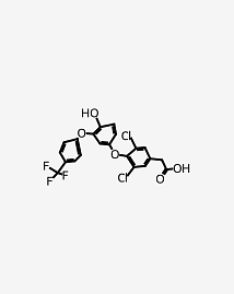 O=C(O)Cc1cc(Cl)c(Oc2ccc(O)c(Oc3ccc(C(F)(F)F)cc3)c2)c(Cl)c1